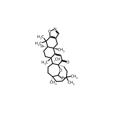 CC(C)C1O[C@@]23CCC(C)(C)CC[C@@]1(C)CC[C@@]2(C)[C@]1(C)CC[C@H]2C(C)(C)c4oncc4C[C@]2(C)C1=CC3=O